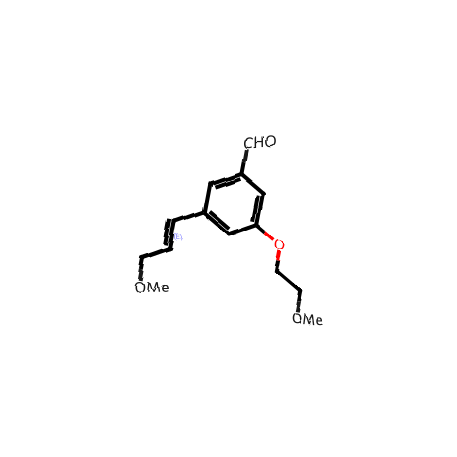 COC/C=C/c1cc(C=O)cc(OCCOC)c1